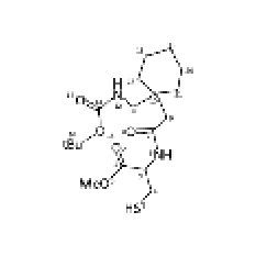 COC(=O)C(CS)NC(=O)CC1(CNC(=O)OC(C)(C)C)CCCCC1